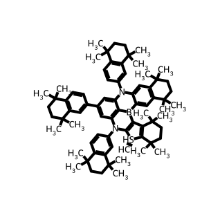 C#[SH]1C2=C(B3c4cc5c(cc4N(c4ccc6c(c4)C(C)(C)CCC6(C)C)c4cc(-c6ccc7c(c6)C(C)(C)CCC7(C)C)cc(c43)N2c2ccc3c(c2)C(C)(C)CCC3(C)C)C(C)(C)CCC5(C)C)C2=C1C(C)(C)CCC2(C)C